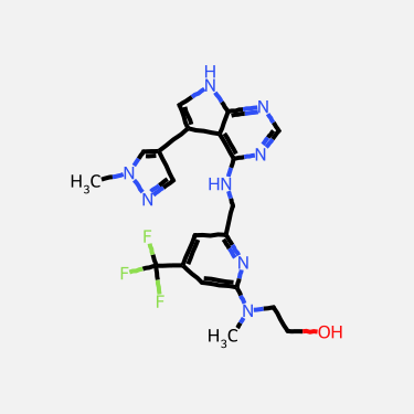 CN(CCO)c1cc(C(F)(F)F)cc(CNc2ncnc3[nH]cc(-c4cnn(C)c4)c23)n1